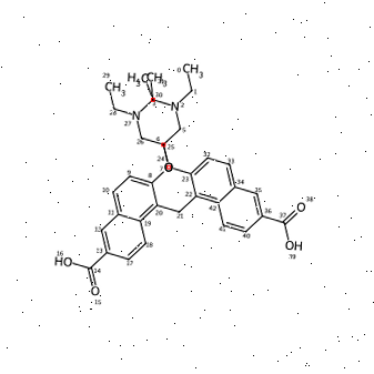 CCN(CC)CCOc1ccc2cc(C(=O)O)ccc2c1Cc1c(OCCN(CC)CC)ccc2cc(C(=O)O)ccc12